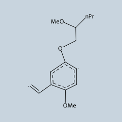 [CH]=Cc1cc(OCC(CCC)OC)[c]cc1OC